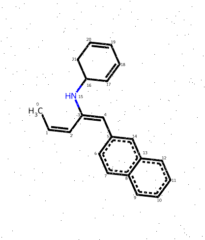 C/C=C\C(=C/c1ccc2ccccc2c1)NC1C=CC=CC1